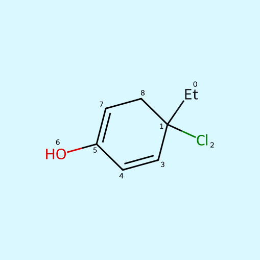 CCC1(Cl)C=CC(O)=CC1